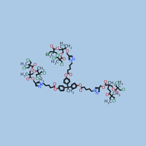 C=C(OCC(C)(COC(=O)C(C)(CCl)CCl)C(=O)OCc1cnn(CCCCC(=O)Oc2ccc(C(C)(c3ccc(OC(=O)CCCCn4cc(COC(=C)C(C)(COC(=O)C(C)(CCl)CCl)COC(=O)C(C)(CCl)CCl)cn4)cc3)c3ccc(OC(=O)CCCCn4cc(COC(=O)C(C)(CCC(=O)C(C)(CC)CCl)COC(=O)C(C)(CCl)CCl)cn4)cc3)cc2)c1)C(C)(CCl)CCl